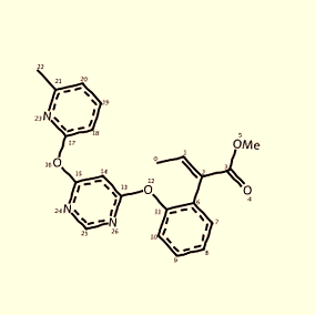 C/C=C(/C(=O)OC)c1ccccc1Oc1cc(Oc2cccc(C)n2)ncn1